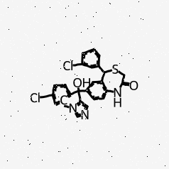 Cn1cncc1C(O)(c1ccc(Cl)cc1)c1ccc2c(c1)C(c1cccc(Cl)c1)SCC(=O)N2